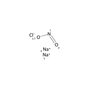 O=N[O-].[Cl-].[Na+].[Na+]